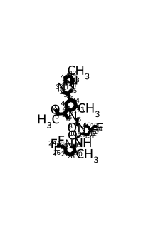 CC(=O)c1cn(CC(=O)N2C[C@@](F)(CF)C[C@H]2C(=O)Nc2nc(C(F)(F)F)ccc2C)c2c(C)cc(-c3cnc4cc(C)nn4c3)cc12